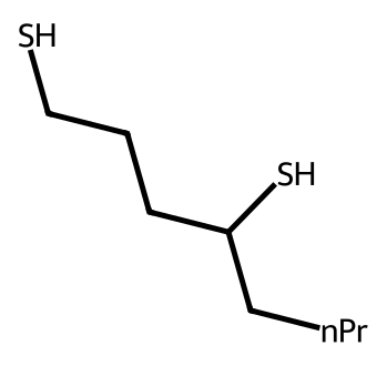 CCCCC(S)CCCS